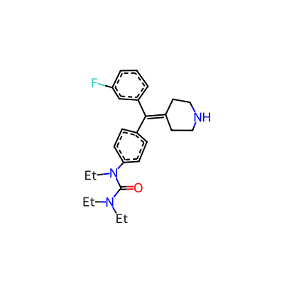 CCN(CC)C(=O)N(CC)c1ccc(C(=C2CCNCC2)c2cccc(F)c2)cc1